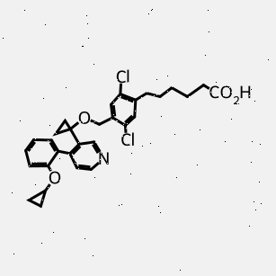 O=C(O)CCCCCc1cc(Cl)c(COC2(c3cnccc3-c3ccccc3OC3CC3)CC2)cc1Cl